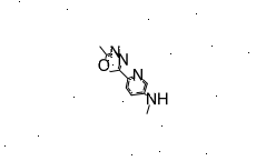 CNc1ccc(C2=NN=C(C)OC2)nc1